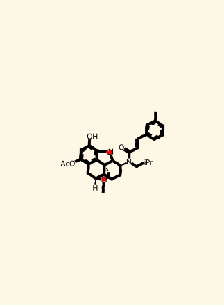 CC(=O)Oc1cc(O)c2c3c1C[C@@H]1[C@@H]4CC[C@H](N(CC(C)C)C(=O)C=Cc5cccc(C)c5)[C@H](O2)[C@]34CCN1C